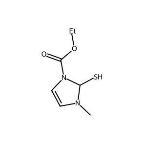 CCOC(=O)N1C=CN(C)C1S